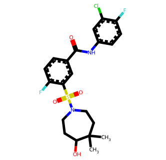 CC1(C)CCN(S(=O)(=O)c2cc(C(=O)Nc3ccc(F)c(Cl)c3)ccc2F)CCC1O